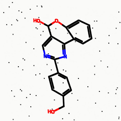 OCc1ccc(-c2ncc3c(n2)-c2ccccc2OC3O)cc1